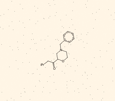 CC(C)CC(=O)C1CN(Cc2ccccc2)CCO1